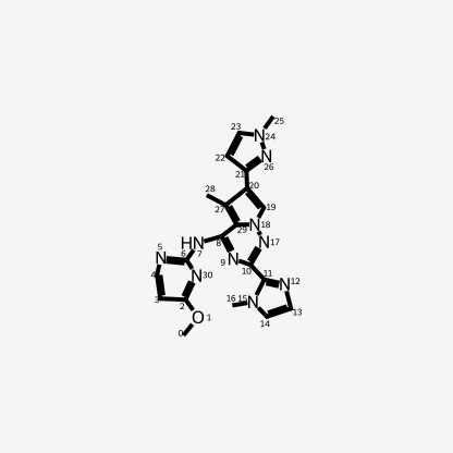 COc1ccnc(Nc2nc(-c3nccn3C)nn3cc(-c4ccn(C)n4)c(C)c23)n1